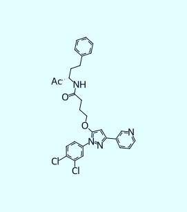 CC(=O)[C@H](CCc1ccccc1)NC(=O)CCCOc1cc(-c2cccnc2)nn1-c1ccc(Cl)c(Cl)c1